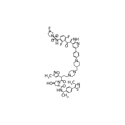 Cc1cc(C(CCN2CCN(CC3CCN(c4ccc(-c5cnc6[nH]cc(C(=O)c7c(F)ccc(NS(=O)(=O)N8CC[C@@H](F)C8)c7F)c6c5)cc4)CC3)CC2)C(=O)N2C[C@H](O)C[C@H]2C(=O)NC(C)c2ccc(-c3scnc3C)cc2)on1